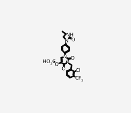 CC1CN(c2ccc(-n3cc(OC(=O)O)c(=O)n(Cc4cccc(C(F)(F)F)c4Cl)c3=O)cc2)C(=O)N1